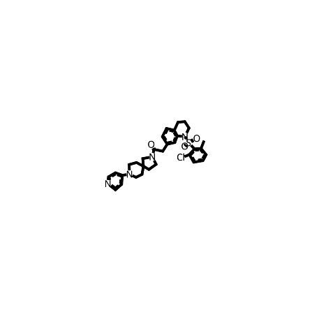 Cc1cccc(Cl)c1S(=O)(=O)N1CCCc2ccc(CC(=O)N3CCC4(CCN(c5ccncc5)CC4)C3)cc21